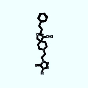 CCn1nnn(CCN2CCC(COC)(N(C=O)CCCc3ccccc3)CC2)c1=O